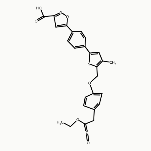 CCOC(=C=O)Cc1ccc(OCc2sc(-c3ccc(-c4cc(C(=O)O)no4)cc3)cc2C)cc1